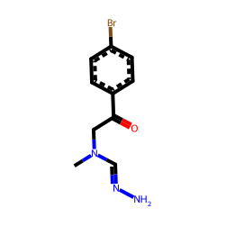 CN(C=NN)CC(=O)c1ccc(Br)cc1